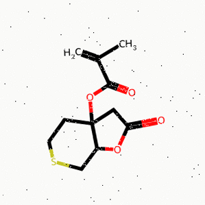 C=C(C)C(=O)OC12CCSCC1OC(=O)C2